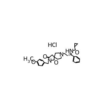 COc1ccc(CN2C(=O)CC3(CCN(CC[C@H](NC(=O)C4CC4)c4ccccc4)CC3)C2=O)cc1.Cl